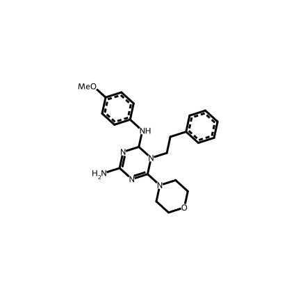 COc1ccc(NC2N=C(N)N=C(N3CCOCC3)N2CCc2ccccc2)cc1